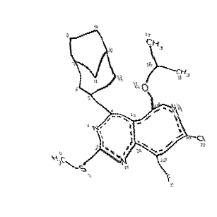 CSc1nc(C2CC3CCC(C3)C2)c2c(OC(C)C)nc(Cl)c(F)c2n1